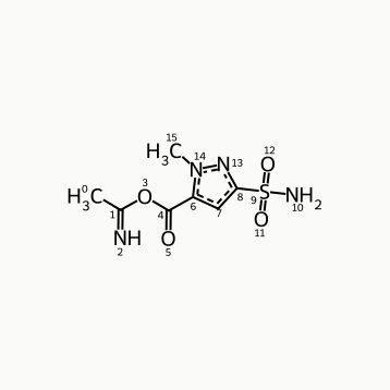 CC(=N)OC(=O)c1cc(S(N)(=O)=O)nn1C